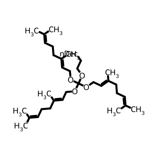 CCCCCCCCCCCCOC(OC/C=C(\C)CCC=C(C)C)(OC/C=C(\C)CCC=C(C)C)OC/C=C(\C)CCC=C(C)C